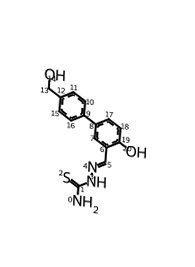 NC(=S)NN=Cc1cc(-c2ccc(CO)cc2)ccc1O